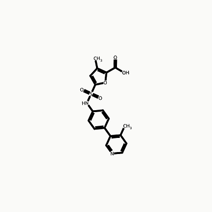 Cc1ccncc1-c1ccc(NS(=O)(=O)c2cc(C)c(C(=O)O)o2)cc1